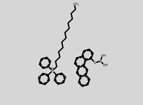 CCCCCCCCCCCCCC[PH](c1ccccc1)(c1ccccc1)c1ccccc1.OB(O)Oc1cccc2ccc3cc4ccccc4cc3c12